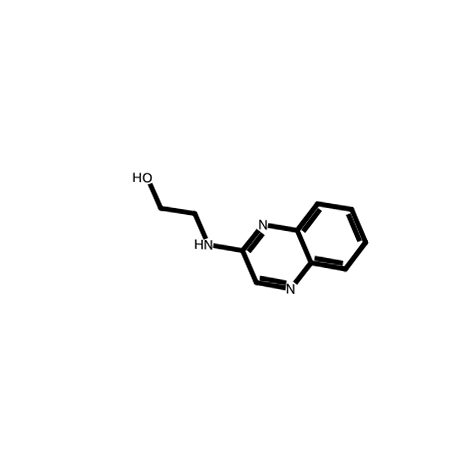 OCCNc1cnc2ccccc2n1